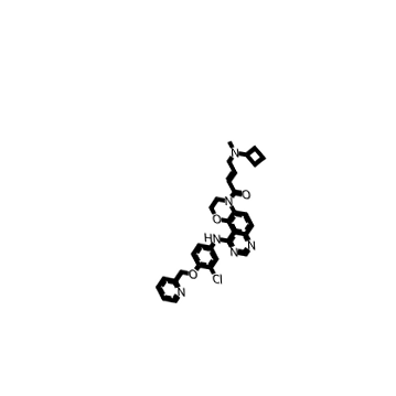 CN(C/C=C/C(=O)N1CCOc2c1ccc1ncnc(Nc3ccc(OCc4ccccn4)c(Cl)c3)c21)C1CCC1